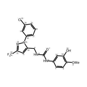 COc1ccc(NC(=O)NCc2cc(C(F)(F)F)nn2-c2cccc(Cl)c2)cc1O